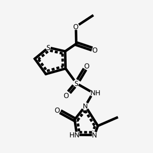 COC(=O)c1sccc1S(=O)(=O)Nn1c(C)n[nH]c1=O